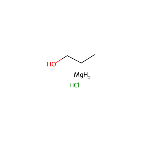 CCCO.Cl.[MgH2]